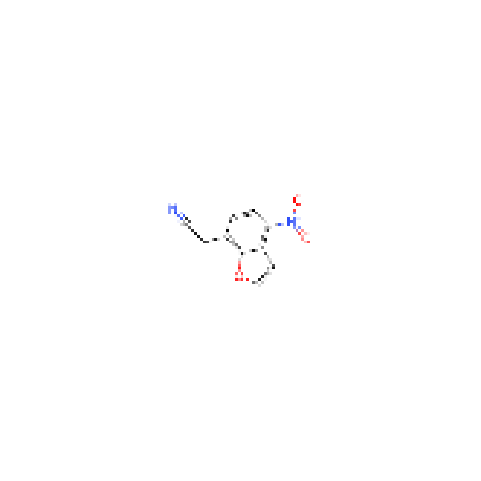 N#CCc1ccc([N+](=O)[O-])c2ccoc12